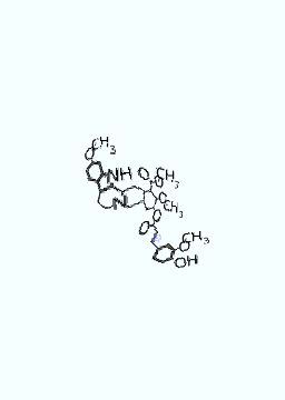 COC(=O)C1C2CC3c4[nH]c5cc(OC)ccc5c4CCN3CC2CC(OC(=O)/C=C/c2ccc(O)c(OC)c2)C1OC